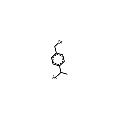 CC(=O)C(C)c1ccc(CBr)cc1